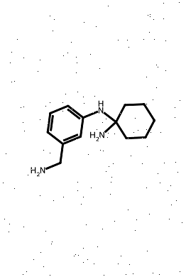 NCc1cccc(NC2(N)C[CH]CCC2)c1